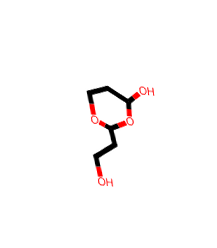 OCCC1OCCC(O)O1